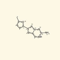 Cc1ccc(-c2nc3c[nH]c(N)nc-3n2)o1